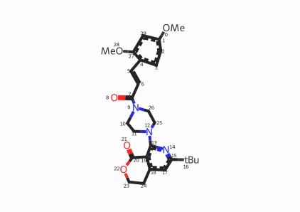 COc1ccc(C=CC(=O)N2CCN(c3nc(C(C)(C)C)cc4c3C(=O)OCC4)CC2)c(OC)c1